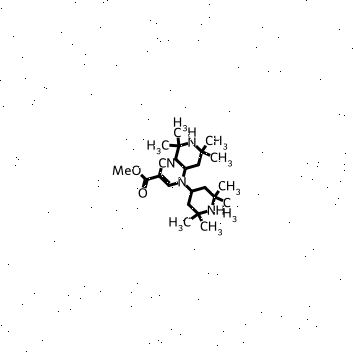 COC(=O)C(C#N)=CN(C1CC(C)(C)NC(C)(C)C1)C1CC(C)(C)NC(C)(C)C1